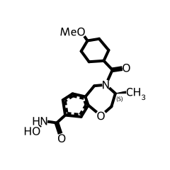 COC1CCC(C(=O)N2Cc3ccc(C(=O)NO)cc3OC[C@@H]2C)CC1